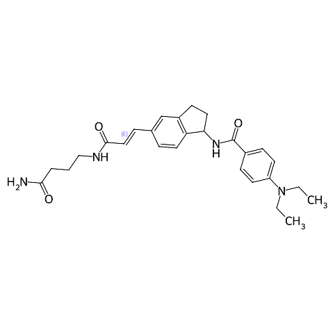 CCN(CC)c1ccc(C(=O)NC2CCc3cc(/C=C/C(=O)NCCCC(N)=O)ccc32)cc1